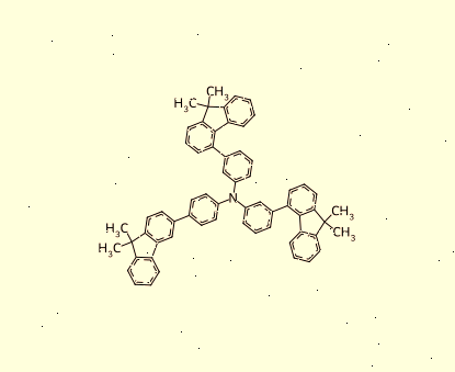 CC1(C)c2ccccc2-c2cc(-c3ccc(N(c4cccc(-c5cccc6c5-c5ccccc5C6(C)C)c4)c4cccc(-c5cccc6c5-c5ccccc5C6(C)C)c4)cc3)ccc21